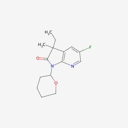 CCC1(C)C(=O)N(C2CCCCO2)c2ncc(F)cc21